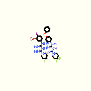 N=C(NC(=N)N1CCC(F)(F)CC1)Nc1ccc(I)c(Br)c1.N=C(NC(=N)N1CCC(F)(F)CC1)Nc1ccc(Oc2ccccc2)cc1